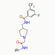 CC(C)NC(=O)CN1CCC(CNC(=O)c2cc(F)cc(C(F)(F)F)c2)CC1